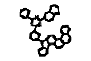 c1ccc(-c2nc(-c3cccc(-n4c5ccccc5c5c6ccc7ccc8ccccc8c7c6ccc54)c3)nc(-c3ccc4ccccc4c3)n2)cc1